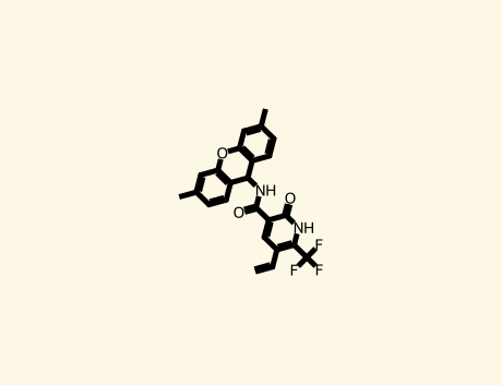 C=Cc1cc(C(=O)NC2c3ccc(C)cc3Oc3cc(C)ccc32)c(=O)[nH]c1C(F)(F)F